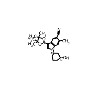 Cc1cc2c(cc1C#N)c(B1OC(C)(C)C(C)(C)O1)cn2[C@@H]1CCC[C@H](O)C1